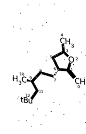 C=C1OC(C)C[C@H]1CC[C@H](C)CC(C)(C)C